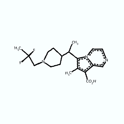 Cc1c(C(=O)O)c2cnccn2c1C(C)C1CCN(CC(C)(F)F)CC1